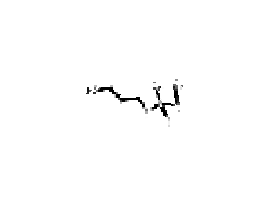 CCCOP(=O)(CCC)OCCCO